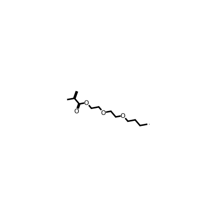 [CH2]CCCOCCOCCOC(=O)C(=C)C